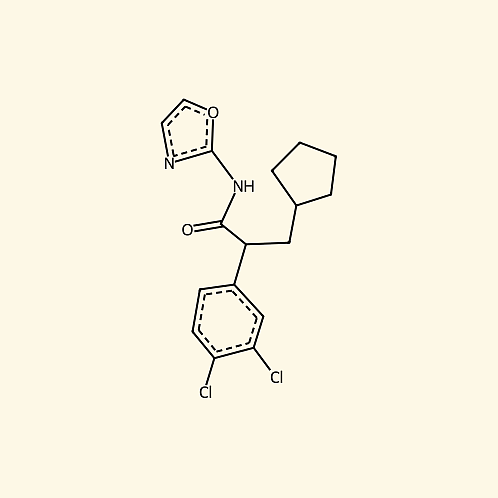 O=C(Nc1ncco1)C(CC1CCCC1)c1ccc(Cl)c(Cl)c1